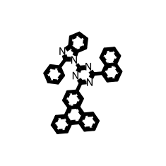 c1ccc(-c2nc3ccccc3n2-c2nc(-c3ccc4c5ccccc5c5ccccc5c4c3)nc(-c3cccc4ccccc34)n2)cc1